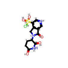 O=C1CCC(N2Cc3c(cncc3S(=O)(=O)Cl)C2=O)C(=O)N1